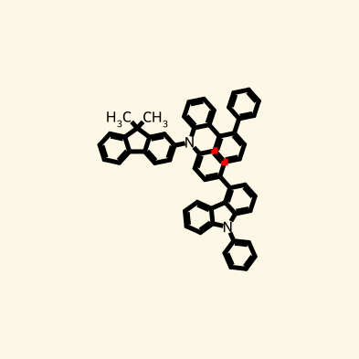 CC1(C)c2ccccc2-c2ccc(N(c3ccc(-c4cccc5c4c4ccccc4n5-c4ccccc4)cc3)c3ccccc3-c3ccccc3-c3ccccc3)cc21